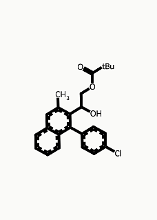 Cc1cc2ccccc2c(-c2ccc(Cl)cc2)c1C(O)COC(=O)C(C)(C)C